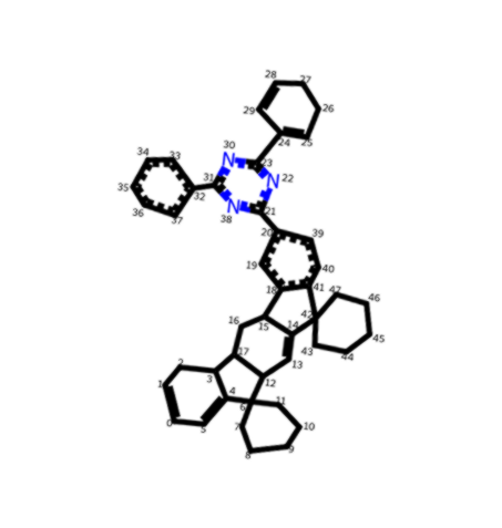 C1=CCC2C(=C1)C1(CCCCC1)C1C=C3C(CC21)c1cc(-c2nc(C4=CCCC=C4)nc(-c4ccccc4)n2)ccc1C31CCCCC1